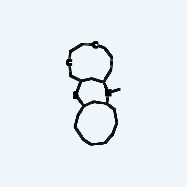 CN1C2CCCCCCCCC(C2)SC2CCCCCCCCC1C2